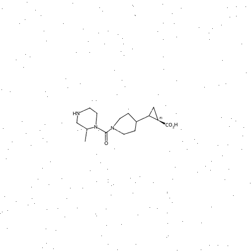 CC1CNCCN1C(=O)N1CCC(C2C[C@H]2C(=O)O)CC1